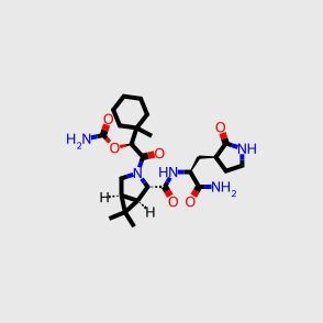 CC1([C@H](OC(N)=O)C(=O)N2C[C@H]3[C@@H]([C@H]2C(=O)N[C@@H](C[C@@H]2CCNC2=O)C(N)=O)C3(C)C)CCCCC1